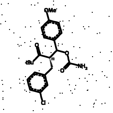 COc1ccc(C(OC(N)=O)[C@H](Cc2cccc(Cl)c2)C(=O)C(C)(C)C)cc1